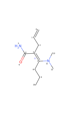 C=CC/C(C(N)=O)=C(/CCC)N(C)C